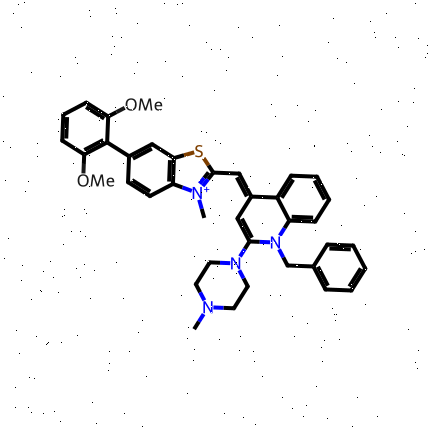 COc1cccc(OC)c1-c1ccc2c(c1)sc(C=C1C=C(N3CCN(C)CC3)N(Cc3ccccc3)c3ccccc31)[n+]2C